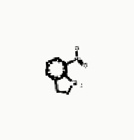 O=[N+]([O-])c1cccc2c1[SiH2]CC2